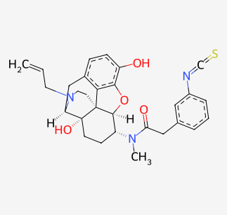 C=CCN1CC[C@]23c4c5ccc(O)c4O[C@H]2[C@H](N(C)C(=O)Cc2cccc(N=C=S)c2)CC[C@@]3(O)[C@H]1C5